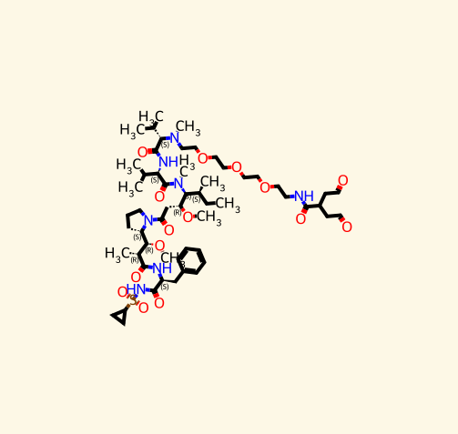 CC[C@H](C)[C@@H]([C@@H](CC(=O)N1CCC[C@H]1[C@H](OC)[C@@H](C)C(=O)N[C@@H](Cc1ccccc1)C(=O)NS(=O)(=O)C1CC1)OC)N(C)C(=O)[C@@H](NC(=O)[C@H](C(C)C)N(C)CCOCCOCCOCCNC(=O)C(CC=O)CC=O)C(C)C